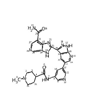 CN1CCC(C(=O)Nc2cncc(-c3cnc4[nH]nc(-c5nc6c(C(N)=O)cncc6[nH]5)c4c3)c2)CC1